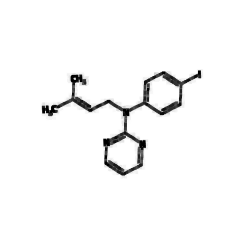 CC(C)=CCN(c1ccc(I)cc1)c1ncccn1